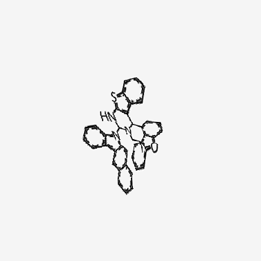 CCCN1C(c2cccc3oc4ccccc4c23)c2c(sc3ccccc23)NC1n1c2ccccc2c2cc3ccccc3cc21